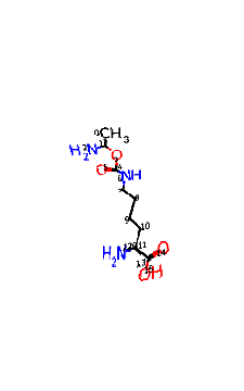 CC(N)OC(=O)NCCCC[C@H](N)C(=O)O